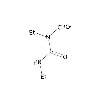 CCNC(=O)N([C]=O)CC